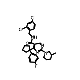 CC1CCCN(c2ncc(C(=O)NCc3ccc(Cl)cc3Cl)c(C3(c4ccc(F)cc4)CCCC3)n2)C1